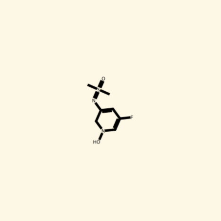 CS(C)(=O)=NC1=CC(F)=CN(O)C1